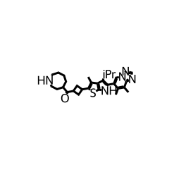 Cc1c(-c2[nH]c3sc(C4CC(C(=O)C5CCCCNCC5)C4)c(C)c3c2C(C)C)cn2ncnc2c1C